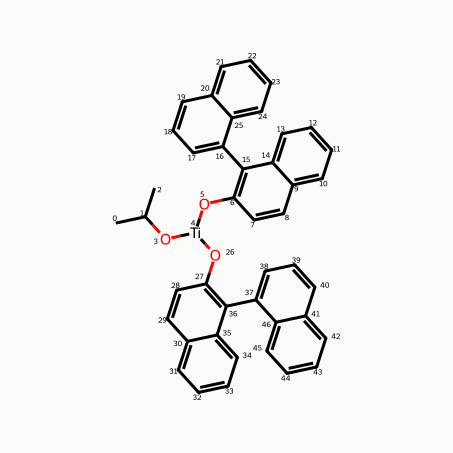 CC(C)[O][Ti]([O]c1ccc2ccccc2c1-c1cccc2ccccc12)[O]c1ccc2ccccc2c1-c1cccc2ccccc12